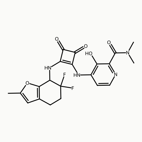 Cc1cc2c(o1)C(Nc1c(Nc3ccnc(C(=O)N(C)C)c3O)c(=O)c1=O)C(F)(F)CC2